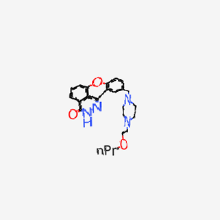 CCCOCCN1CCN(Cc2ccc3c(c2)-c2n[nH]c(=O)c4cccc(c24)O3)CC1